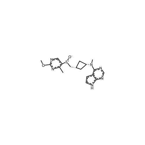 COc1ncc([S+]([O-])C[C@H]2C[C@@H](N(C)c3ncnc4[nH]ccc34)C2)c(C)n1